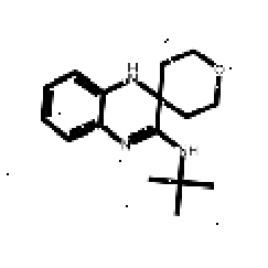 CC(C)(C)NC1=Nc2ccccc2NC12CCOCC2